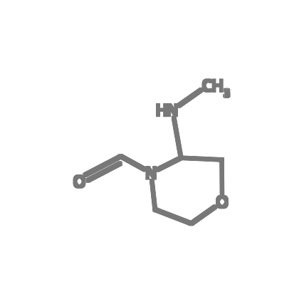 CNC1COCCN1C=O